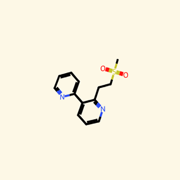 CS(=O)(=O)CCc1ncccc1-c1ccccn1